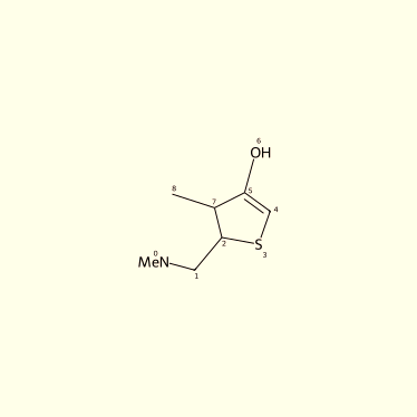 CNCC1SC=C(O)C1C